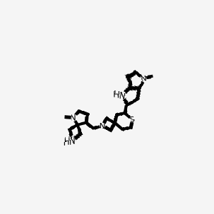 CN1CCC2NC(C3CC4(CCS3)CN(CC3CCN(C)C35CNC5)C4)CC21